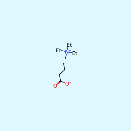 CCCC(=O)[O-].CC[N+](C)(CC)CC